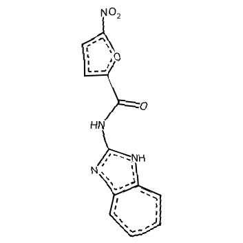 O=C(Nc1nc2ccccc2[nH]1)c1ccc([N+](=O)[O-])o1